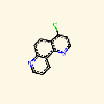 Clc1ccnc2c1ccc1ncccc12